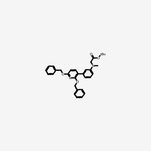 CN(CC(=O)OC(C)(C)C)c1cccc(-c2ccc(OCc3ccccc3)nc2OCc2ccccc2)c1